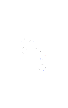 Cc1onc(-c2ccccc2)c1-c1c[nH]c(-c2ccc(C(=O)NCc3cccnc3)cc2)n1